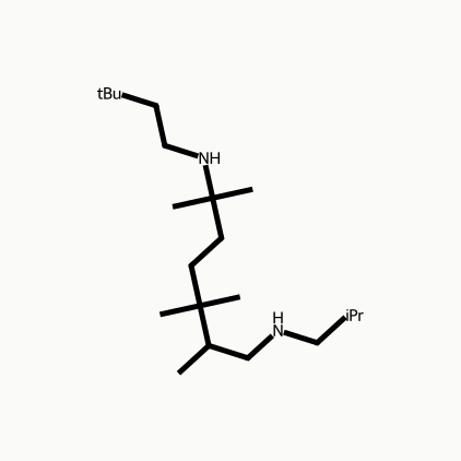 CC(C)CNCC(C)C(C)(C)CCC(C)(C)NCCC(C)(C)C